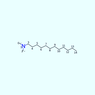 [CH2]N([CH2])CCCCCCCCCCCC